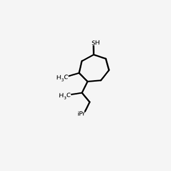 CC(C)CC(C)C1CCCC(S)CC1C